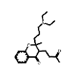 CCN(CC)CCCC1(C)Oc2ccccc2C(=O)C1CCC(C)=O